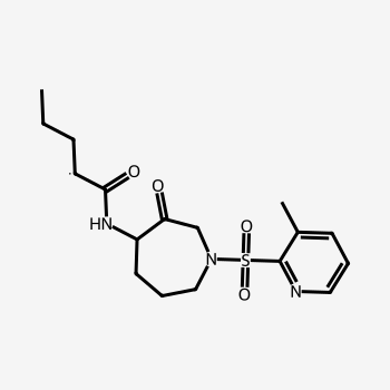 CCC[CH]C(=O)NC1CCCN(S(=O)(=O)c2ncccc2C)CC1=O